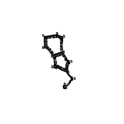 ClSc1nc2ccccc2o1